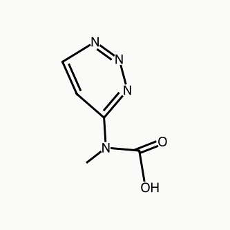 CN(C(=O)O)c1ccnnn1